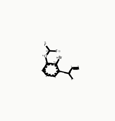 [CH2]C(C=C)c1cccc(OC(F)F)c1Br